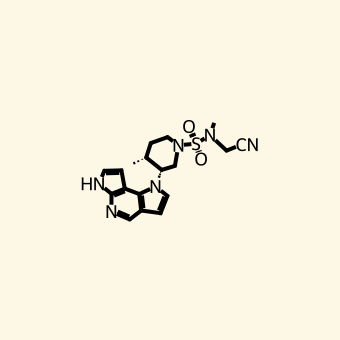 C[C@@H]1CCN(S(=O)(=O)N(C)CC#N)C[C@@H]1n1ccc2cnc3[nH]ccc3c21